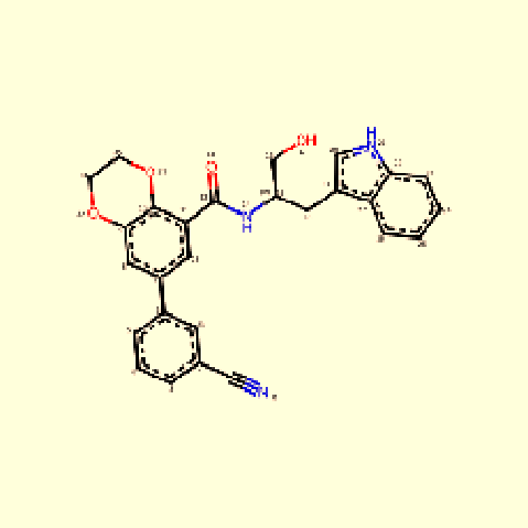 N#Cc1cccc(-c2cc3c(c(C(=O)N[C@@H](CO)Cc4c[nH]c5ccccc45)c2)OCCO3)c1